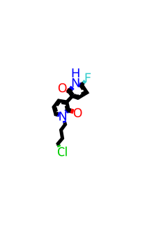 O=c1[nH]c(F)ccc1-c1cccn(CCCCCl)c1=O